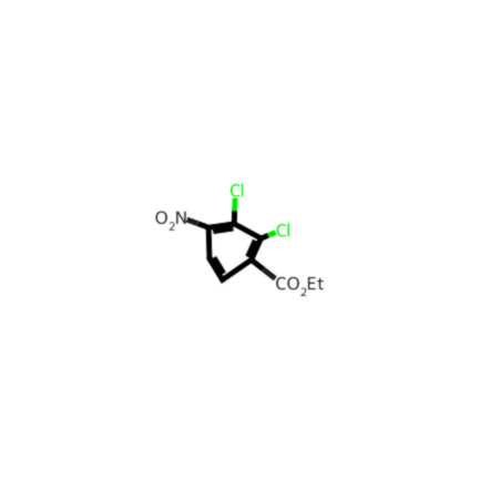 CCOC(=O)c1ccc([N+](=O)[O-])c(Cl)c1Cl